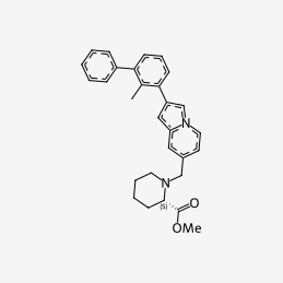 COC(=O)[C@@H]1CCCCN1Cc1ccn2cc(-c3cccc(-c4ccccc4)c3C)cc2c1